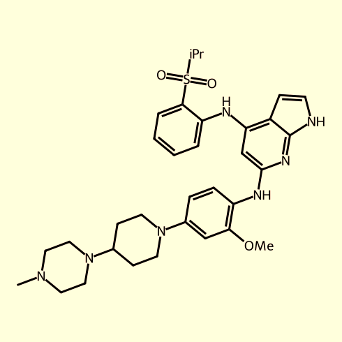 COc1cc(N2CCC(N3CCN(C)CC3)CC2)ccc1Nc1cc(Nc2ccccc2S(=O)(=O)C(C)C)c2cc[nH]c2n1